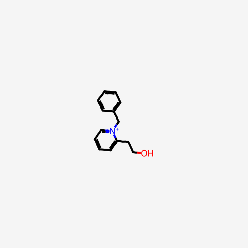 OCCc1cccc[n+]1Cc1ccccc1